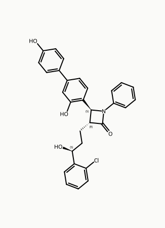 O=C1[C@H](CC[C@H](O)c2ccccc2Cl)[C@@H](c2ccc(-c3ccc(O)cc3)cc2O)N1c1ccccc1